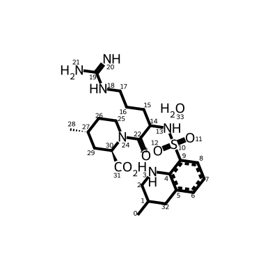 CC1CNc2c(cccc2S(=O)(=O)NC(CCCNC(=N)N)C(=O)N2CC[C@@H](C)C[C@@H]2C(=O)O)C1.O